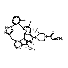 C=CC(=O)N1CCN(c2nc(=O)n3c4nc(c(F)cc24)-c2c(F)cccc2-n2cc(nn2)Cc2ccnc(C(C)C)c2-3)[C@@H](C)C1